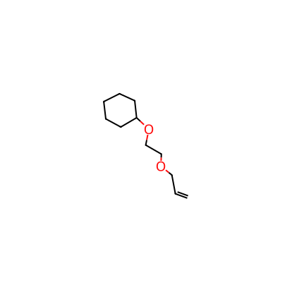 C=CCOCCOC1CCCCC1